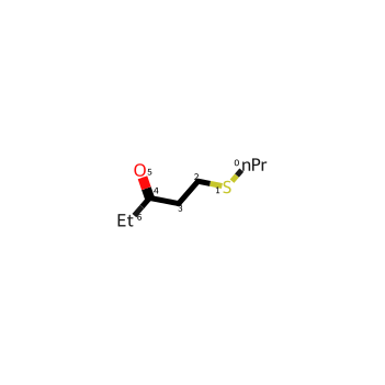 CCCSCCC(=O)CC